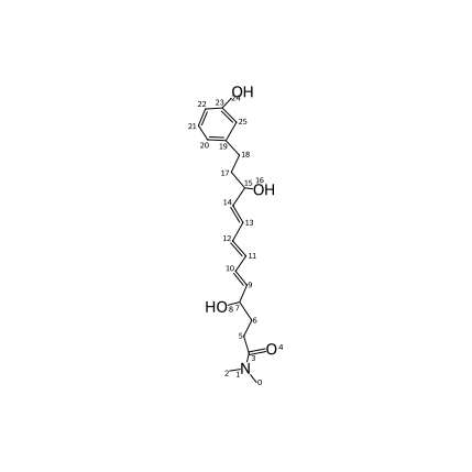 CN(C)C(=O)CCC(O)/C=C/C=C/C=C/C(O)CCc1cccc(O)c1